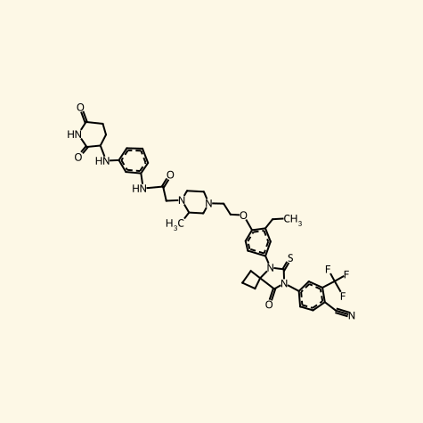 CCc1cc(N2C(=S)N(c3ccc(C#N)c(C(F)(F)F)c3)C(=O)C23CCC3)ccc1OCCN1CCN(CC(=O)Nc2cccc(NC3CCC(=O)NC3=O)c2)C(C)C1